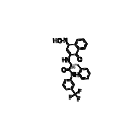 O=C1C(N[C@H](Cc2ccccc2)C(=O)Nc2cccc(C(F)(F)F)c2)=CC(=NO)c2ccccc21